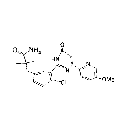 COc1ccc(-c2cc(=O)[nH]c(-c3cc(CC(C)(C)C(N)=O)ccc3Cl)n2)nc1